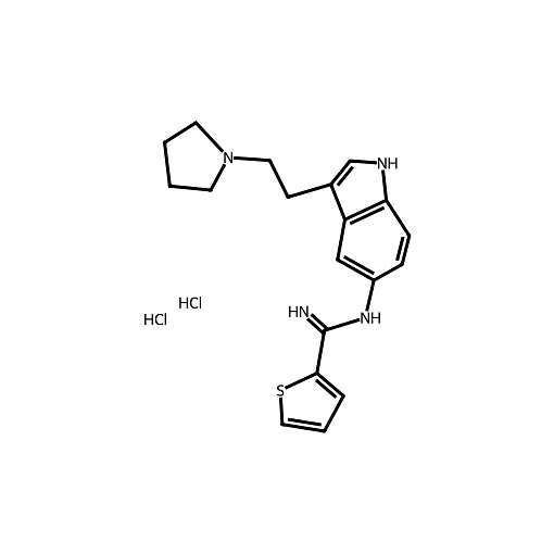 Cl.Cl.N=C(Nc1ccc2[nH]cc(CCN3CCCC3)c2c1)c1cccs1